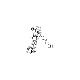 CCCCCCCCS(=O)(=O)C(Cc1ccc(OCCC2CCCCN2)cc1)C(=O)O